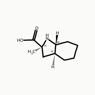 C[C@@]1(C(=O)O)C[C@@H]2CCCC[C@H]2N1